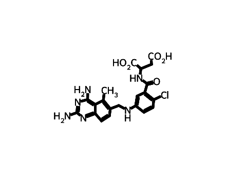 Cc1c(CNc2ccc(Cl)c(C(=O)NC(CC(=O)O)C(=O)O)c2)ccc2nc(N)nc(N)c12